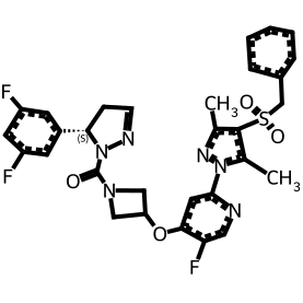 Cc1nn(-c2cc(OC3CN(C(=O)N4N=CC[C@H]4c4cc(F)cc(F)c4)C3)c(F)cn2)c(C)c1S(=O)(=O)Cc1ccccc1